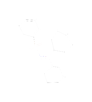 O=S(=O)(NP(C1CCCCC1)C1CCCCC1)c1ccccc1